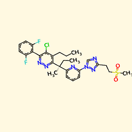 CCCc1c([C@@](C)(CC)c2cccc(-n3cnc(CCS(C)(=O)=O)n3)n2)nnc(-c2c(F)cccc2F)c1Cl